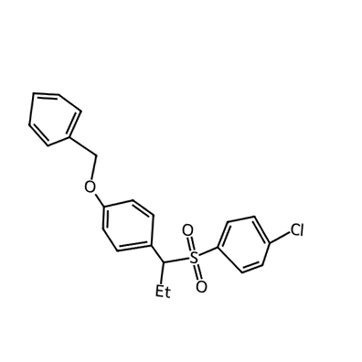 CCC(c1ccc(OCc2ccccc2)cc1)S(=O)(=O)c1ccc(Cl)cc1